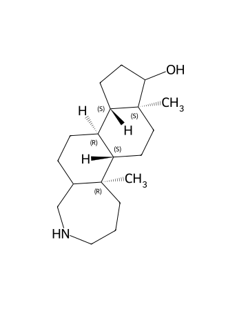 C[C@]12CCCNCC1CC[C@@H]1[C@@H]2CC[C@]2(C)C(O)CC[C@@H]12